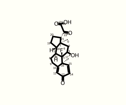 C[C@]12CC(O)[C@@]3(F)[C@@H](CCC4=CC(=O)C=C[C@@]43C)[C@@H]1CC[C@@H]2C(=O)C(=O)O